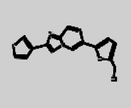 OCc1ccc(-c2ccc3nc(-c4ccsc4)cn3c2)o1